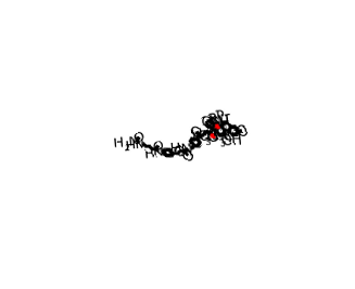 CCCC1OC[C@](C(=O)COC(=O)c2ccc(CNC(=O)OCc3ccc(NC(=O)CCCCNC(N)=O)cc3)cc2)([C@@]2(C)C[C@H](O)C3[C@@H](CCC4=CC(=O)C=C[C@@]43C)C2C)O1